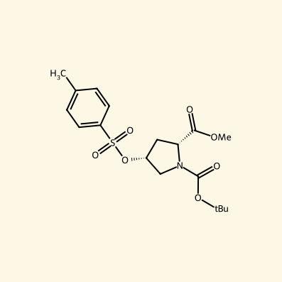 COC(=O)[C@H]1C[C@@H](OS(=O)(=O)c2ccc(C)cc2)CN1C(=O)OC(C)(C)C